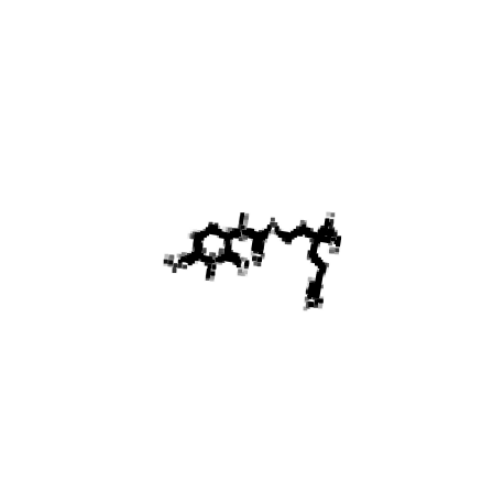 C#CCCC1(CCOC(=O)NC2CCC(=C)NC2=O)N=N1